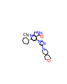 N#C[C@H]1CCCCC[C@H]1c1cc(-n2cnc(N3CCC4(CCOCC4)CC3)c2)c2c(n1)CNC2=O